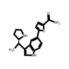 CC(c1c[nH]c2ccc(-c3ccc(C(N)=O)s3)cc12)[C@H]1CCCN1